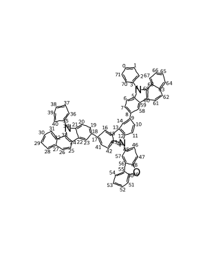 c1ccc(-n2c3ccc(-c4ccc5c(c4)c4cc(-c6ccc7c(c6)c6ccc8ccccc8c6n7-c6ccccc6)ccc4n5-c4ccc5oc6ccccc6c5c4)cc3c3ccc4ccccc4c32)cc1